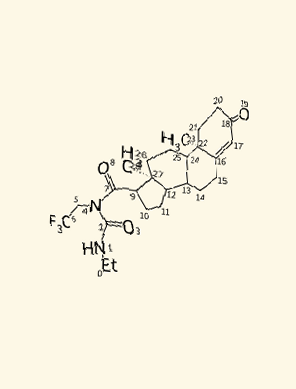 CCNC(=O)N(CC(F)(F)F)C(=O)C1CCC2C3CCC4=CC(=O)CC[C@]4(C)C3CC[C@]12C